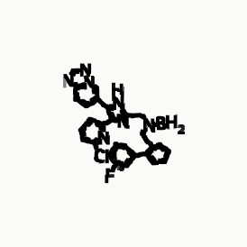 BN(Cc1nc(-c2cccc(C)n2)c(-c2ccc3ncnn3c2)[nH]1)Cc1ccccc1-c1cccc(F)c1